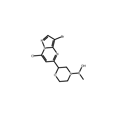 CB(O)N1CCOC(c2cc(Cl)n3ncc(Br)c3n2)C1